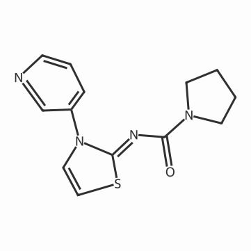 O=C(/N=c1\sccn1-c1cccnc1)N1CCCC1